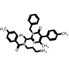 Cc1ccc(C(=O)N(CCCN)C(c2nc(C)c(-c3ccc(C)cc3)c(=O)n2Cc2ccccc2)C(C)C)cc1